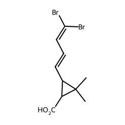 CC1(C)C(C=CC=C(Br)Br)C1C(=O)O